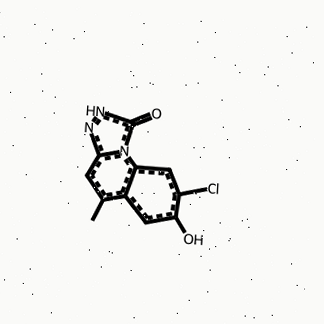 Cc1cc2n[nH]c(=O)n2c2cc(Cl)c(O)cc12